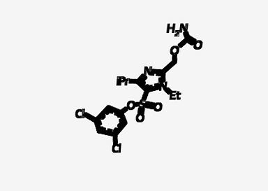 CCn1c(COC(N)=O)nc(C(C)C)c1S(=O)(=O)Oc1cc(Cl)cc(Cl)c1